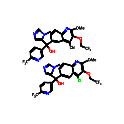 COc1nc2ccc(C(O)(c3ccc(C(F)(F)F)nc3)c3cncn3C)cc2c(C#N)c1OCC(F)(F)F.COc1nc2ccc(C(O)(c3ccc(C(F)(F)F)nc3)c3cncn3C)cc2c(Cl)c1OCC(F)(F)F